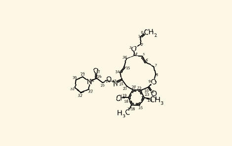 C=CCOC1/C=C/CCOC(=O)c2c(C)cc(C)c(Cl)c2CC(=N/OCC(=O)N2CCCCC2)/C=C/C1